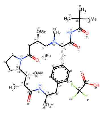 CC[C@H](C)[C@@H]([C@@H](CC(=O)N1CCC[C@H]1[C@H](OC)[C@@H](C)C(=O)N[C@@H](Cc1ccccc1)C(=O)O)OC)N(C)[C@H](C(=O)NC(=O)C(C)(C)NC)C(C)C.O=C(O)C(F)(F)F